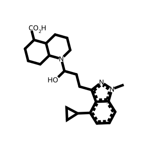 Cn1nc(CCC(O)N2CCCC3C(C(=O)O)CCCC32)c2c(C3CC3)cccc21